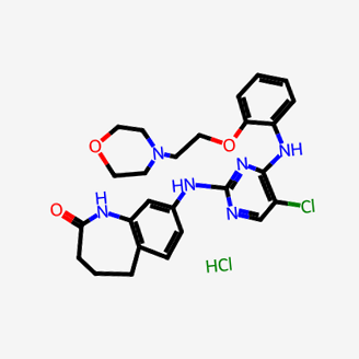 Cl.O=C1CCCc2ccc(Nc3ncc(Cl)c(Nc4ccccc4OCCN4CCOCC4)n3)cc2N1